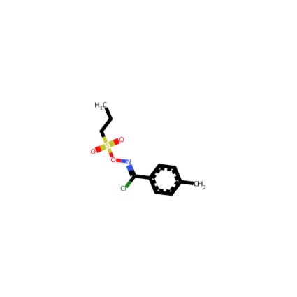 CCCS(=O)(=O)ON=C(Cl)c1ccc(C)cc1